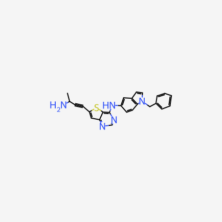 CC(N)C#Cc1cc2ncnc(Nc3ccc4c(ccn4Cc4ccccc4)c3)c2s1